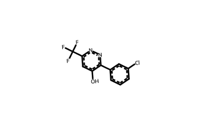 Oc1cc(C(F)(F)F)nnc1-c1cccc(Cl)c1